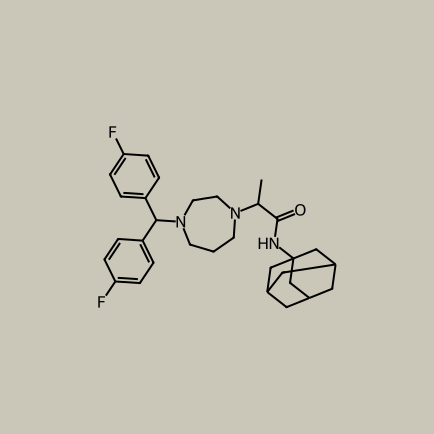 CC(C(=O)NC12CC3CC(CC(C3)C1)C2)N1CCCN(C(c2ccc(F)cc2)c2ccc(F)cc2)CC1